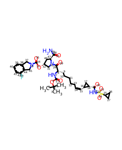 CC(C)(C)OC(=O)N[C@@H](CCCCC/C=C\[C@@H]1C[C@@H]1C(=O)NS(=O)(=O)C1CC1)C(=O)N1C[C@H](OC(=O)N2Cc3cccc(F)c3C2)C[C@H]1C(N)=O